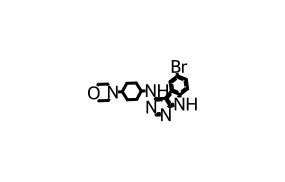 Brc1ccc2[nH]c3ncnc(NC4CCC(N5CCOCC5)CC4)c3c2c1